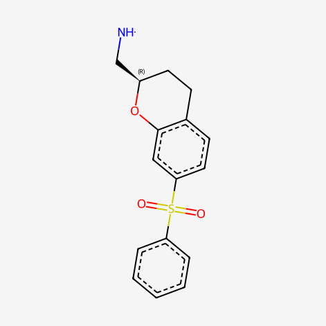 [NH]C[C@H]1CCc2ccc(S(=O)(=O)c3ccccc3)cc2O1